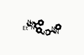 CCc1cnn2cc(-c3ccccc3)c(-c3ccc(CN4CCC(c5cnc6ccccc6n5)CC4)cc3)nc12